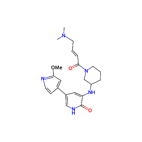 COc1cc(-c2c[nH]c(=O)c(NC3CCCN(C(=O)/C=C/CN(C)C)C3)c2)ccn1